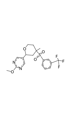 COc1ncc(C2CC(C)(S(=O)(=O)c3cccc(C(F)(F)F)c3)CCO2)cn1